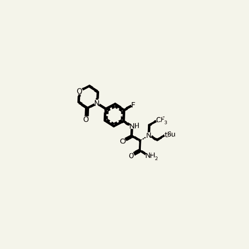 CC(C)(C)CN(CC(F)(F)F)[C@H](C(N)=O)C(=O)Nc1ccc(N2CCOCC2=O)cc1F